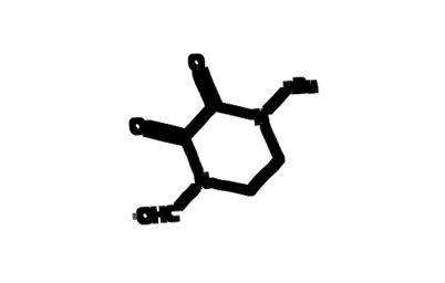 CCCCN1CCN([C]=O)C(=O)C1=O